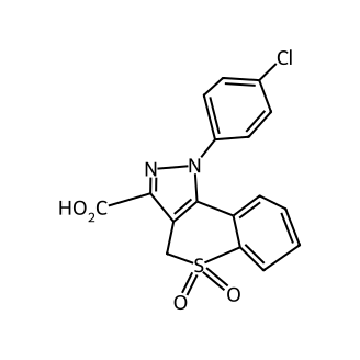 O=C(O)c1nn(-c2ccc(Cl)cc2)c2c1CS(=O)(=O)c1ccccc1-2